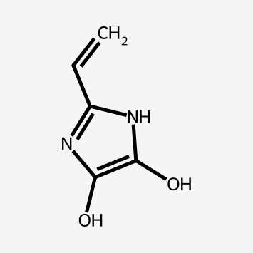 C=Cc1nc(O)c(O)[nH]1